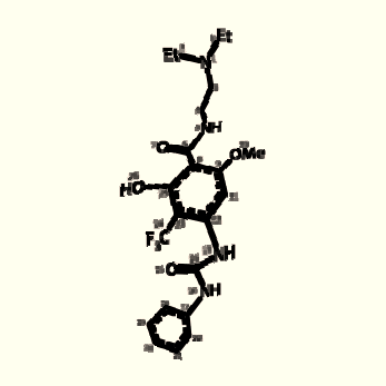 CCN(CC)CCNC(=O)c1c(OC)cc(NC(=O)Nc2ccccc2)c(C(F)(F)F)c1O